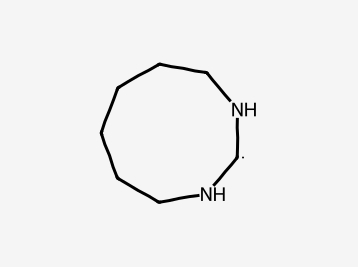 [CH]1NCCCCCCN1